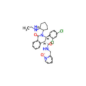 CCN[C@H]1CCCCC1N1C(=O)c2ccccc2[C@@H](C(=O)NCc2cccc[n+]2[O-])[C@@H]1c1ccc(Cl)cc1Cl